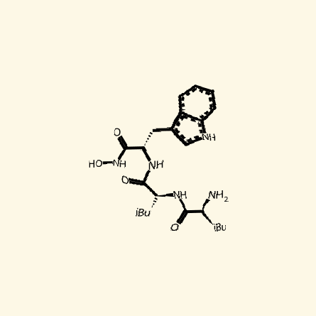 CC[C@H](C)[C@H](N)C(=O)N[C@H](C(=O)N[C@@H](Cc1c[nH]c2ccccc12)C(=O)NO)[C@@H](C)CC